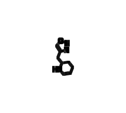 C1=CNC(Cc2conn2)CC1